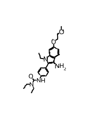 CCN(CC)C(=O)Nc1ccc(-c2c(N)c3ccc(OCCOC)cc3n2CC)cc1